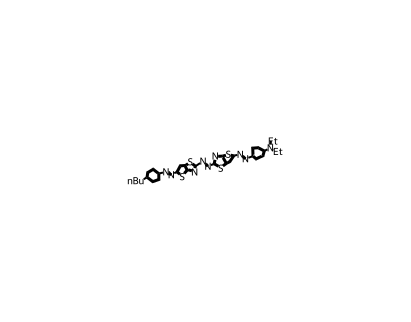 CCCCc1ccc(N=Nc2cc3sc(N=Nc4nc5sc(N=Nc6ccc(N(CC)CC)cc6)cc5s4)nc3s2)cc1